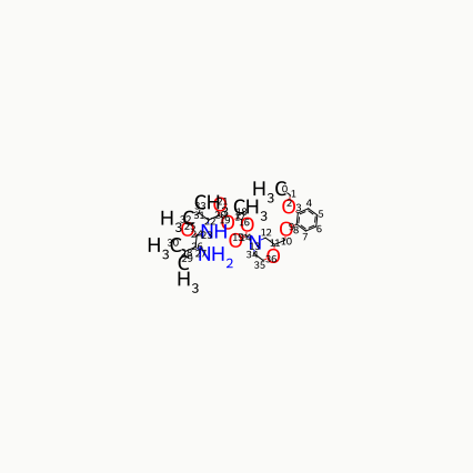 CCOc1ccccc1OCC1CN(C(=O)OC(C)OC(=O)C(NC(=O)C(N)C(C)C)C(C)C)CCO1